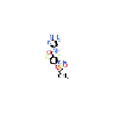 CCCS(=O)(=O)Nc1ccc(F)c(C(=O)Nc2ccc(N)nc2)c1F